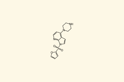 O=S(=O)(c1ccco1)n1ccc2c(N3CCNCC3)ccnc21